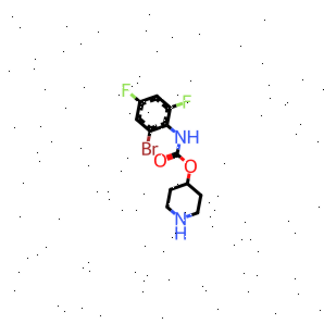 O=C(Nc1c(F)cc(F)cc1Br)OC1CCNCC1